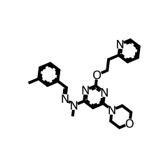 Cc1cccc(C=NN(C)c2cc(N3CCOCC3)nc(OCCc3ccccn3)n2)c1